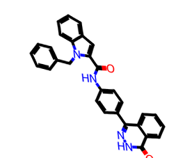 O=C(Nc1ccc(-c2n[nH]c(=O)c3ccccc23)cc1)c1cc2ccccc2n1Cc1ccccc1